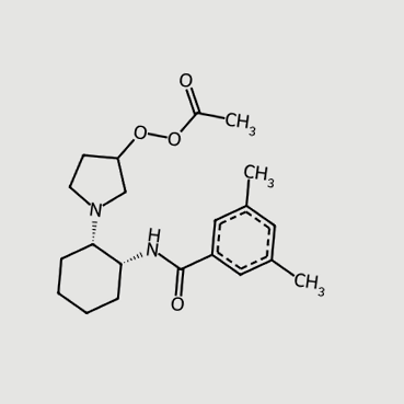 CC(=O)OOC1CCN([C@H]2CCCC[C@H]2NC(=O)c2cc(C)cc(C)c2)C1